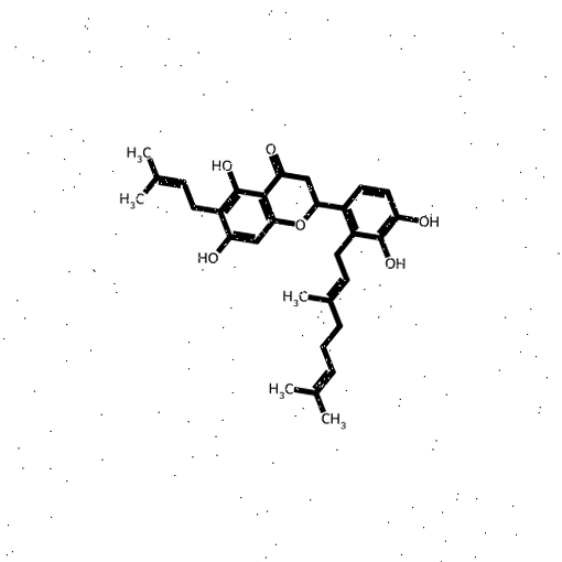 CC(C)=CCC/C(C)=C/Cc1c(C2CC(=O)c3c(cc(O)c(CC=C(C)C)c3O)O2)ccc(O)c1O